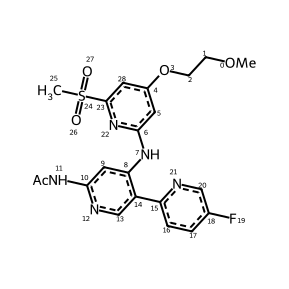 COCCOc1cc(Nc2cc(NC(C)=O)ncc2-c2ccc(F)cn2)nc(S(C)(=O)=O)c1